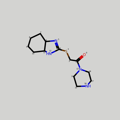 O=C(CSC1=NC2CCCCC2N1)N1CCNCC1